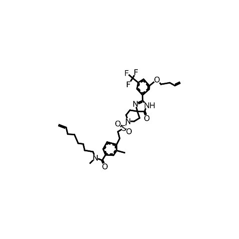 C=CCCCCCCN(C)C(=O)c1ccc(CCS(=O)(=O)N2CCC3(CC2)N=C(c2cc(OCCC=C)cc(C(F)(F)F)c2)NC3=O)c(C)c1